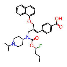 CCCC(F)OC(=O)N(CC(=Cc1ccc(C(=O)O)cc1)COc1cccc2ccccc12)C1CCN(C(C)C)CC1